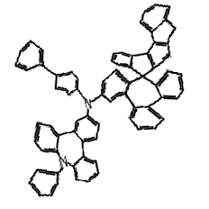 c1ccc(-c2ccc(N(c3ccc4c(c3)-c3ccccc3N(c3ccccc3)c3ccccc3-4)c3ccc4c(c3)-c3ccccc3-c3ccccc3C43c4ccccc4-c4c3ccc3c4-c4ccccc4C3)cc2)cc1